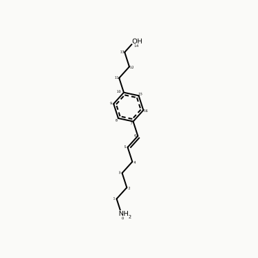 NCCCCC=Cc1ccc(CCCO)cc1